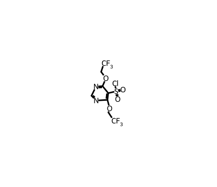 O=S(=O)(Cl)c1c(OCC(F)(F)F)ncnc1OCC(F)(F)F